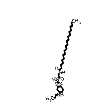 CCC=CCC=CCC=CCC=CCC=CCC=CCCC(=O)NCC(=O)Nc1nc2c(s1)CC(NCCC)CC2